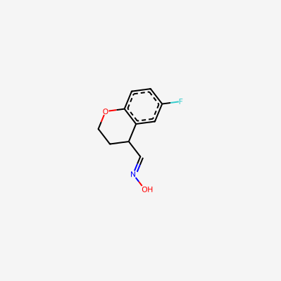 ON=CC1CCOc2ccc(F)cc21